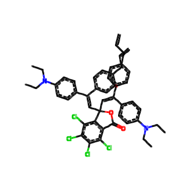 C=CCc1ccc(C(=CC2(C=C(c3ccc(CC=C)cc3)c3ccc(N(CC)CC)cc3)OC(=O)c3c(Cl)c(Cl)c(Cl)c(Cl)c32)c2ccc(N(CC)CC)cc2)cc1